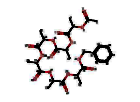 CC(=O)OC(C)C(=O)OC(C)C(=O)OC(C)C(=O)OC(C)C(=O)OC(C)C(=O)OC(C)C(=O)OCc1ccccc1